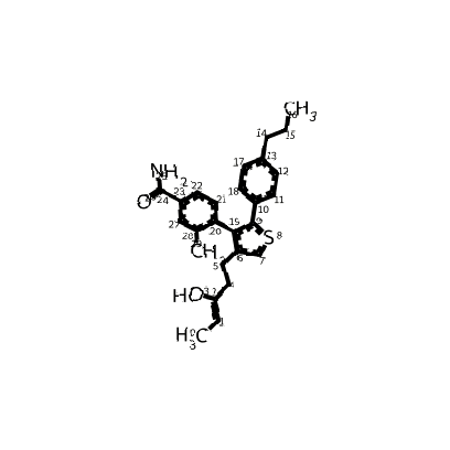 CC=C(O)CCc1csc(-c2ccc(CCC)cc2)c1-c1ccc(C(N)=O)cc1C